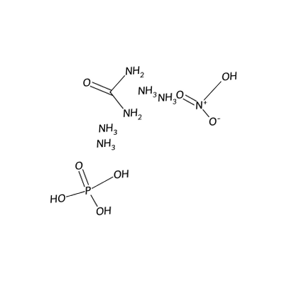 N.N.N.N.NC(N)=O.O=P(O)(O)O.O=[N+]([O-])O